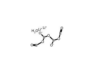 O.O=BOB([O-])OB([O-])OB=O.[Li+].[Li+]